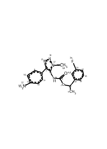 CC(OC(=O)Nc1c(-c2ccc(N)cc2)nnn1C)c1cccc(F)c1